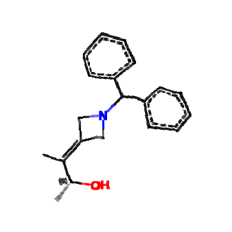 CC(=C1CN(C(c2ccccc2)c2ccccc2)C1)[C@@H](C)O